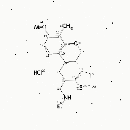 CCNCC(CC1CCOc2c1ccc(OC)c2C)c1cccs1.Cl